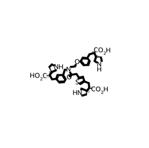 O=C(O)[C@@H](Cc1cccc(CN(CCOc2cccc(C[C@H](C(=O)O)[C@H]3CCNC3)c2)C(=O)Cc2cc(C[C@H](C(=O)O)[C@H]3CCNC3)cs2)c1)[C@H]1CCNC1